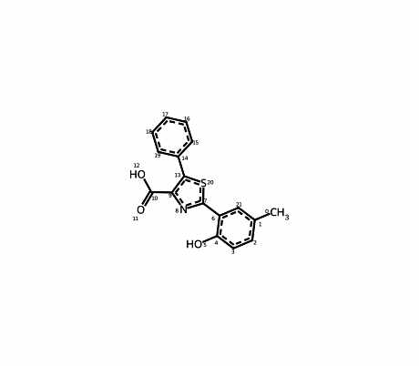 Cc1ccc(O)c(-c2nc(C(=O)O)c(-c3ccccc3)s2)c1